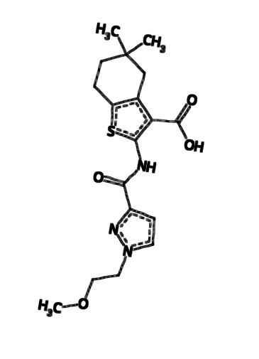 COCCn1ccc(C(=O)Nc2sc3c(c2C(=O)O)CC(C)(C)CC3)n1